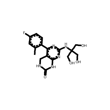 Cc1cc(F)ccc1-c1nc(NC(CO)(CO)CO)nc2c1CNC(=O)N2